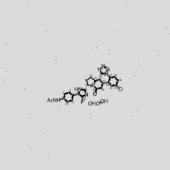 CC(=O)Nc1ccc(-c2[nH]c([C@@H]3CCc4cc(-c5cc(Cl)ccc5-n5cnnn5)cc(=O)n43)nc2F)cc1.O=CO